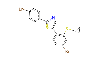 Brc1ccc(-c2ncc(-c3ccc(Br)cc3SC3CC3)s2)cc1